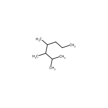 CCCC(C)C(C)[C](C)C